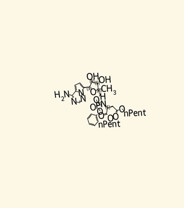 CCCCCOC(=O)C[C@H](N[P@](=O)(OC[C@@]1(C)O[C@@H](c2ccc3c(N)ncnn23)[C@H](O)[C@@H]1O)Oc1ccccc1)C(=O)OCCCCC